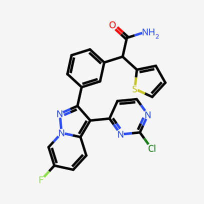 NC(=O)C(c1cccc(-c2nn3cc(F)ccc3c2-c2ccnc(Cl)n2)c1)c1cccs1